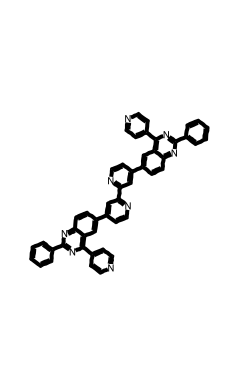 c1ccc(-c2nc(-c3ccncc3)c3cc(-c4ccnc(-c5cc(-c6ccc7nc(-c8ccccc8)nc(-c8ccncc8)c7c6)ccn5)c4)ccc3n2)cc1